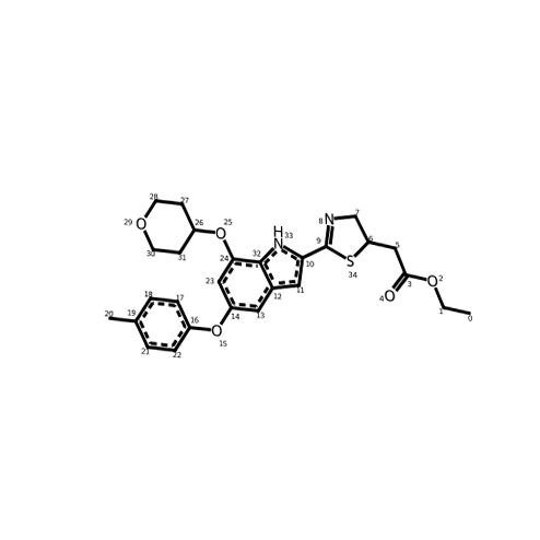 CCOC(=O)CC1CN=C(c2cc3cc(Oc4ccc(C)cc4)cc(OC4CCOCC4)c3[nH]2)S1